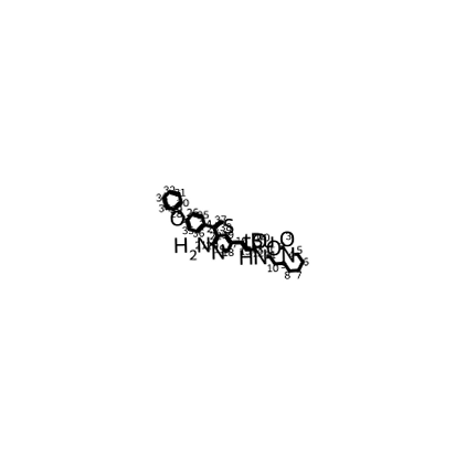 CC(C)(C)OC(=O)N1CCCCC1CCNC(=O)C=Cc1cnc(N)c2c(-c3ccc(Oc4ccccc4)cc3)csc12